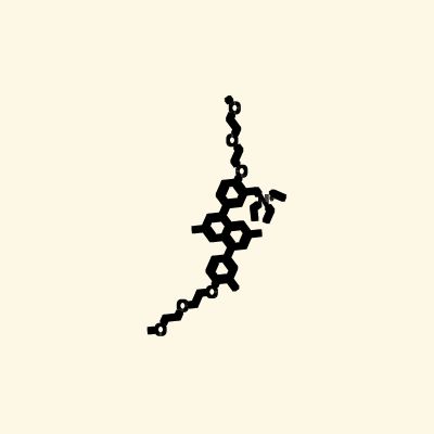 CC[N+](CC)(CC)Cc1cc(-c2cc(C)cc3c(-c4ccc(OCCOCCOC)c(C)c4)cc(C)cc23)ccc1OCCOCCOC